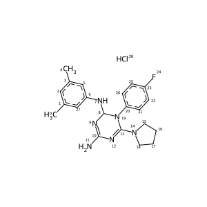 Cc1cc(C)cc(NC2N=C(N)N=C(N3CCCC3)N2c2ccc(F)cc2)c1.Cl